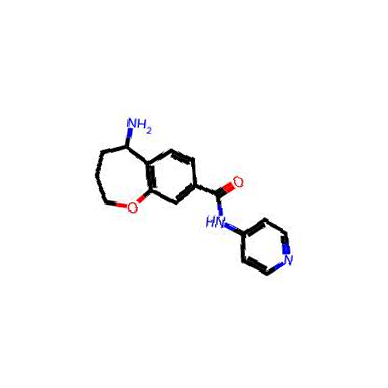 NC1CCCOc2cc(C(=O)Nc3ccncc3)ccc21